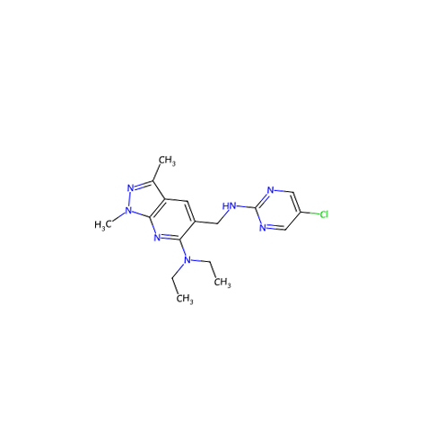 CCN(CC)c1nc2c(cc1CNc1ncc(Cl)cn1)c(C)nn2C